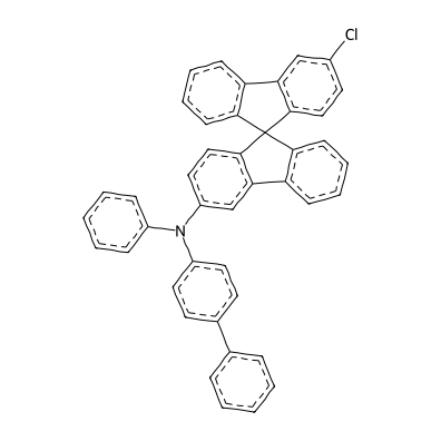 Clc1ccc2c(c1)-c1ccccc1C21c2ccccc2-c2cc(N(c3ccccc3)c3ccc(-c4ccccc4)cc3)ccc21